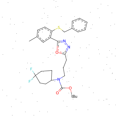 Cc1ccc(SCc2ccccc2)c(-c2nnc(CCCN(C(=O)OC(C)(C)C)C3CCC(F)(F)CC3)o2)c1